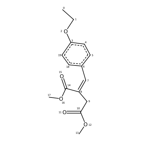 CCOc1ccc(C=C(CC(=O)OC)C(=O)OC)cc1